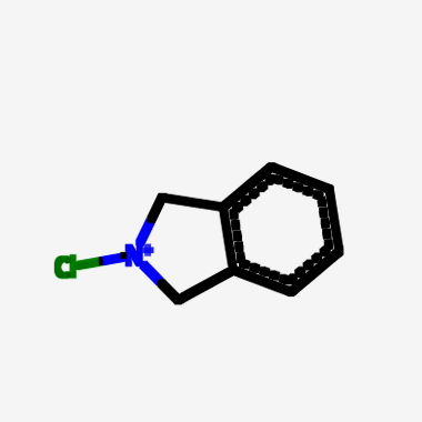 Cl[N+]1Cc2ccccc2C1